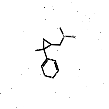 CC(=O)N(C)CC1CC1(C)C1=CCCC=C1